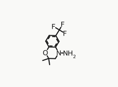 CC1(C)CN(N)c2cc(C(F)(F)F)ccc2O1